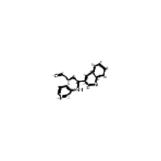 O=CCCC(Nc1cccnc1)c1cnc2ccccc2c1